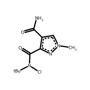 Cn1cc(C(N)=O)c(C(=O)N(Cl)C(C)(C)C)n1